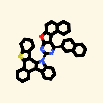 c1ccc2cc(-c3nc(-n4c5ccccc5c5c6ccccc6c6sc7ccccc7c6c54)nc4oc5ccc6ccccc6c5c34)ccc2c1